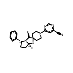 N#Cc1cc(N2CCC3(CC2)O[C@@H]2CC[C@@H](c4ccccc4)N2C3=O)ncn1